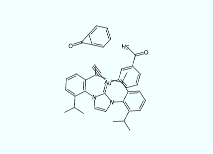 C#[C][Au]([c]1cccc(C(=O)S)c1)=[c]1n(-c2c(C(C)C)cccc2C(C)C)ccn1-c1c(C(C)C)cccc1C(C)C.O=c1c2ccccc12